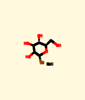 OC[C@H]1O[C@@H](S)[C@@H](O)[C@@H](O)[C@@H]1O.[NaH]